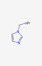 CCC[CH]n1ccnc1